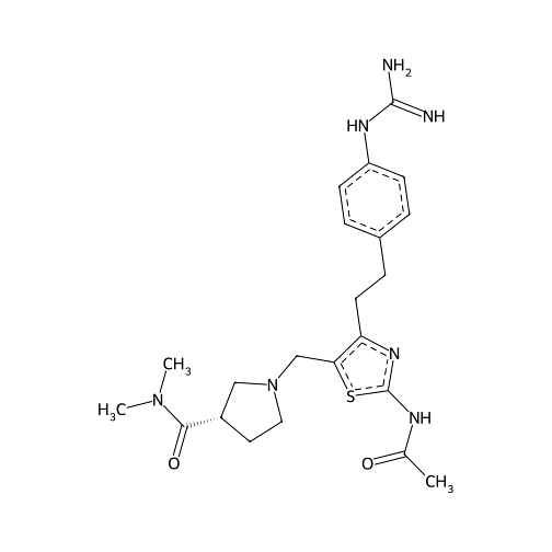 CC(=O)Nc1nc(CCc2ccc(NC(=N)N)cc2)c(CN2CC[C@H](C(=O)N(C)C)C2)s1